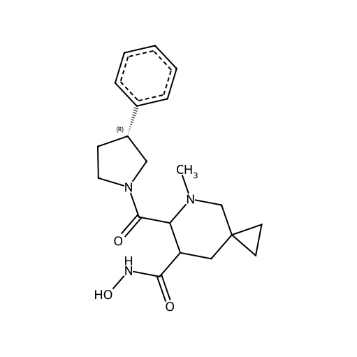 CN1CC2(CC2)CC(C(=O)NO)C1C(=O)N1CC[C@H](c2ccccc2)C1